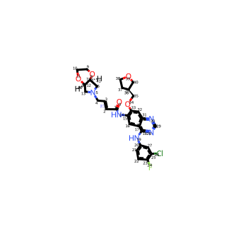 O=C(/C=C/CN1C[C@@H]2OCCO[C@@H]2C1)Nc1cc2c(Nc3ccc(F)c(Cl)c3)ncnc2cc1OC[C@H]1CCOC1